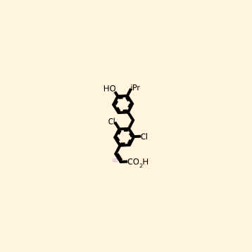 CC(C)c1cc(Cc2c(Cl)cc(/C=C\C(=O)O)cc2Cl)ccc1O